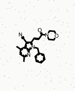 Cc1cc(C)c2c(C#N)c(C=CC(=O)N3CCOCC3)n(Cc3ccccc3)c2n1